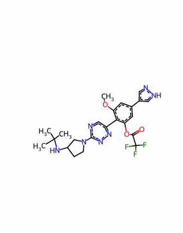 COc1cc(-c2cn[nH]c2)cc(OC(=O)C(F)(F)F)c1-c1cnc(N2CCC(NC(C)(C)C)C2)nn1